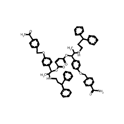 CC(NCCC(c1ccccc1)c1ccccc1)C(OC(=O)/C=C\C(=O)OC(c1ccc(OCc2ccc(C(N)=O)cc2)cc1)C(C)NCCC(c1ccccc1)c1ccccc1)c1ccc(OCc2ccc(C(N)=O)cc2)cc1